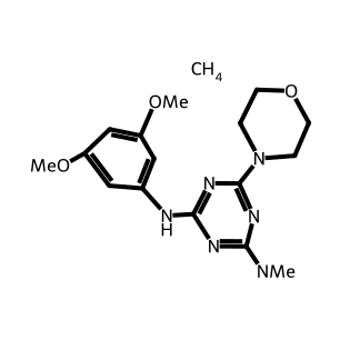 C.CNc1nc(Nc2cc(OC)cc(OC)c2)nc(N2CCOCC2)n1